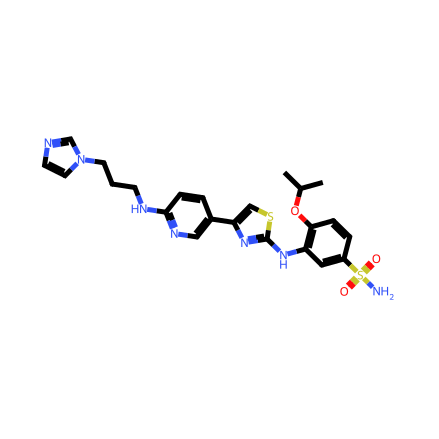 CC(C)Oc1ccc(S(N)(=O)=O)cc1Nc1nc(-c2ccc(NCCCn3ccnc3)nc2)cs1